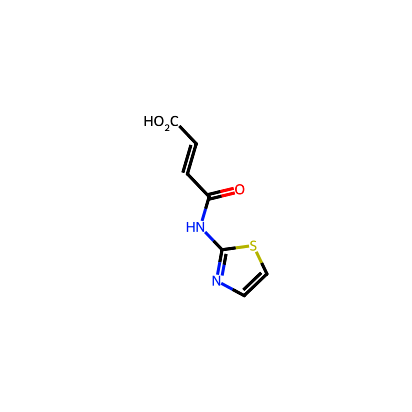 O=C(O)C=CC(=O)Nc1nccs1